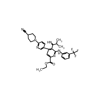 CCOC(=O)c1cc(-c2ccc(N3CCC(C#N)CC3)nc2)c(C(=N)C(C)C)c(Nc2cccc(C(F)(F)F)c2)n1